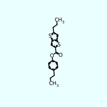 CCCc1ccc(OC(=O)c2cc3sc(CCC)cc3s2)cc1